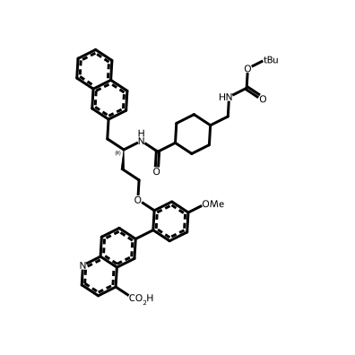 COc1ccc(-c2ccc3nccc(C(=O)O)c3c2)c(OCC[C@@H](Cc2ccc3ccccc3c2)NC(=O)C2CCC(CNC(=O)OC(C)(C)C)CC2)c1